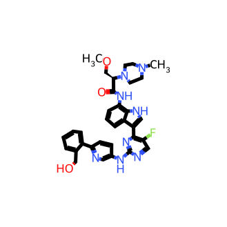 COC[C@H](C(=O)Nc1cccc2c(-c3nc(Nc4ccc(-c5ccccc5CO)nc4)ncc3F)c[nH]c12)N1CCN(C)CC1